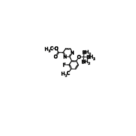 BC(B)(B)Oc1ccc(C)c(F)c1-c1nccc(C(=O)OC)n1